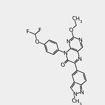 CCOc1ncc2nc(-c3ccc4nn(C)cc4c3)c(=O)n(-c3ccc(OC(F)F)cc3)c2n1